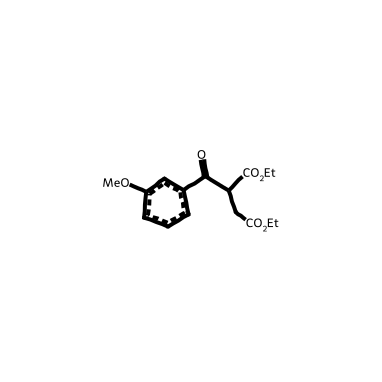 CCOC(=O)CC(C(=O)OCC)C(=O)c1cccc(OC)c1